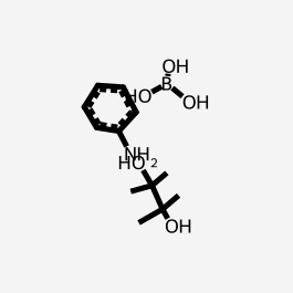 CC(C)(O)C(C)(C)O.Nc1ccccc1.OB(O)O